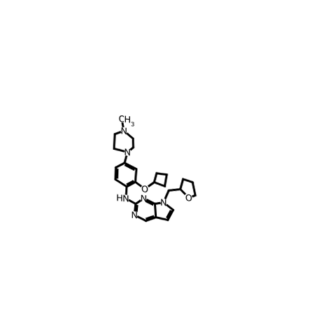 CN1CCN(c2ccc(Nc3ncc4ccn(CC5CCCO5)c4n3)c(OC3CCC3)c2)CC1